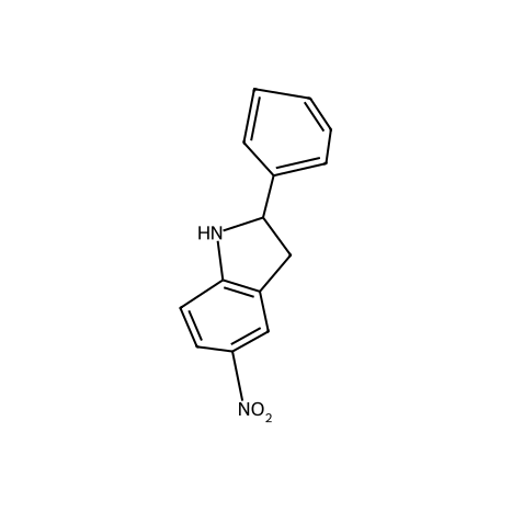 O=[N+]([O-])c1ccc2c(c1)CC(c1ccccc1)N2